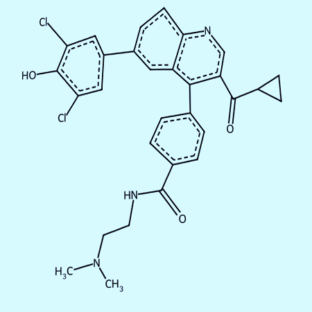 CN(C)CCNC(=O)c1ccc(-c2c(C(=O)C3CC3)cnc3ccc(-c4cc(Cl)c(O)c(Cl)c4)cc23)cc1